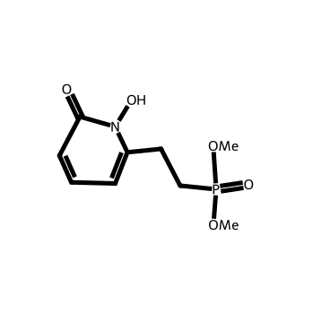 COP(=O)(CCc1cccc(=O)n1O)OC